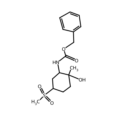 CC1(O)CCC(S(C)(=O)=O)CC1NC(=O)OCc1ccccc1